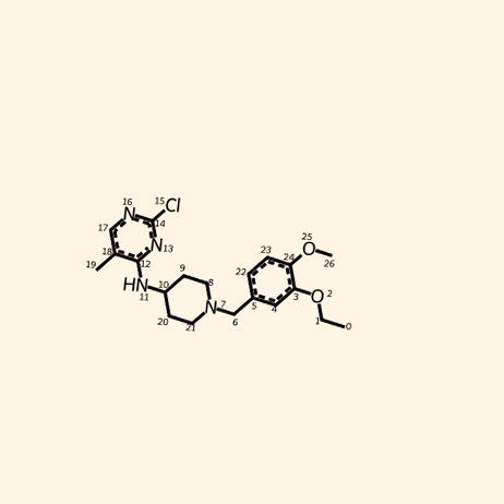 CCOc1cc(CN2CCC(Nc3nc(Cl)ncc3C)CC2)ccc1OC